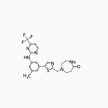 Cc1cc(Nc2nccc(C(F)(F)F)n2)cc(-c2cnc(CN3CCNC(=O)CC3)s2)c1